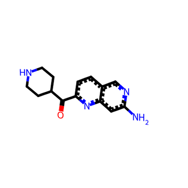 Nc1cc2nc(C(=O)C3CCNCC3)ccc2cn1